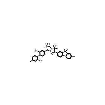 CCc1cc(C)ccc1-c1ccc(C(=O)C(C)(O)CCC(C)(O)C(=O)c2ccc3c(c2)C(C)(C)c2cc(C)ccc2-3)cc1CC